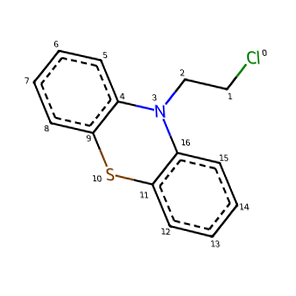 ClCCN1c2ccccc2Sc2ccccc21